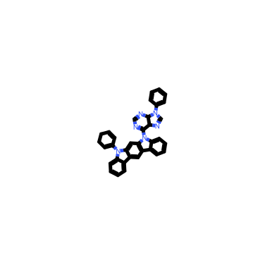 C1=CC(n2c3ccccc3c3cc4c5ccccc5n(C5=NC=NC6C5N=CN6c5ccccc5)c4cc32)=CCC1